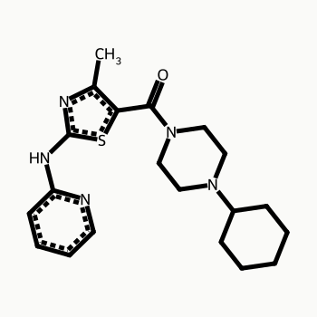 Cc1nc(Nc2ccccn2)sc1C(=O)N1CCN(C2CCCCC2)CC1